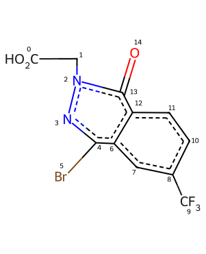 O=C(O)Cn1nc(Br)c2cc(C(F)(F)F)ccc2c1=O